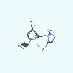 C#Cc1cc(C)cc(-n2c(C)ccc2C)n1